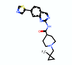 O=C(Nc1ncc2ccc(-c3cncs3)cc2n1)C1CCN(CC2(C(F)(F)F)CC2)CC1